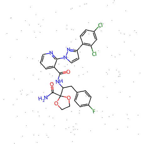 NC(=O)C1(C(Cc2ccc(F)cc2)NC(=O)c2cccnc2-n2ccc(-c3ccc(Cl)cc3Cl)n2)OCCO1